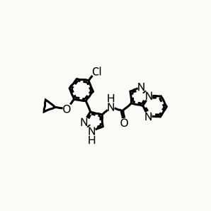 O=C(Nc1c[nH]nc1-c1cc(Cl)ccc1OC1CC1)c1cnn2cccnc12